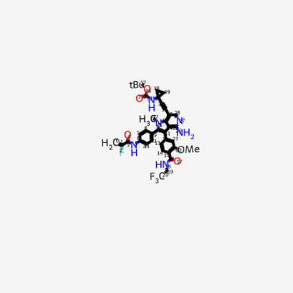 C=C(F)C(=O)Nc1ccc(-c2c(-c3ccc(C(=O)NCC(F)(F)F)c(OC)c3)c3c(N)ncc(C#CC4(NC(=O)OC(C)(C)C)CC4)c3n2C)cc1